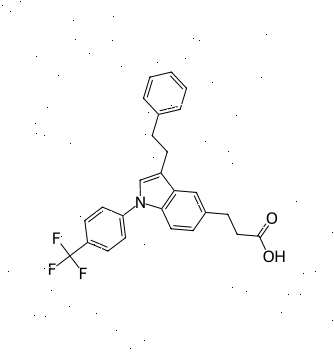 O=C(O)CCc1ccc2c(c1)c(CCc1ccccc1)cn2-c1ccc(C(F)(F)F)cc1